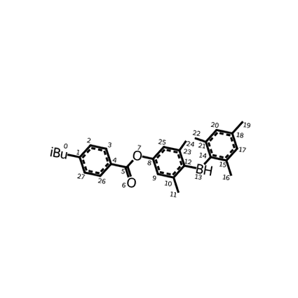 CCC(C)c1ccc(C(=O)Oc2cc(C)c(Bc3c(C)cc(C)cc3C)c(C)c2)cc1